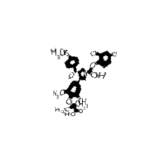 CSc1ccc(C(=O)[C@@H]2CN(C(O)Oc3ccc(Cl)cc3Cl)C[C@H]2c2cc(C)c(OC(C)(C)C(=O)O)c(C)c2)cc1